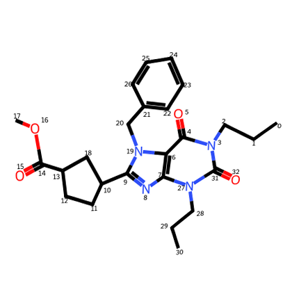 CCCn1c(=O)c2c(nc(C3CCC(C(=O)OC)C3)n2Cc2ccccc2)n(CCC)c1=O